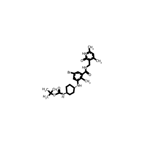 Cc1cc(C)c(CNC(=O)c2cc(Br)cc(N[C@H]3CC[C@H](NC(=O)OC(C)(C)C)CC3)c2C)c(=O)[nH]1